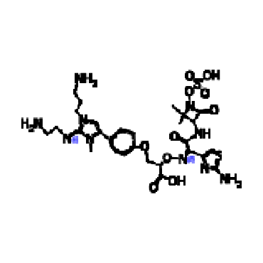 Cn1c(-c2ccc(OCC(O/N=C(\C(=O)NC3C(=O)N(OS(=O)(=O)O)C3(C)C)c3csc(N)n3)C(=O)O)cc2)cn(CCCN)/c1=N\CCN